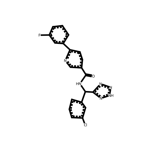 O=C(NC(c1cccc(Cl)c1)c1nn[nH]n1)c1ccc(-c2cccc(F)c2)nc1